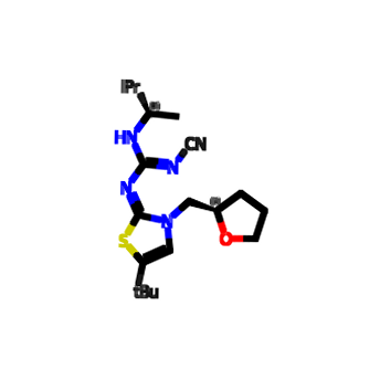 CC(C)[C@@H](C)NC(=NC#N)N=c1sc(C(C)(C)C)cn1C[C@H]1CCCO1